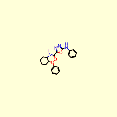 O=C(NC1CCCCC1Oc1ccccc1)c1nnc(Nc2ccccc2)o1